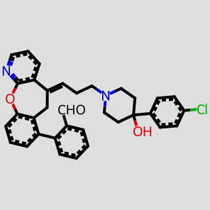 O=Cc1ccccc1-c1cccc2c1CC(=CCCN1CCC(O)(c3ccc(Cl)cc3)CC1)c1cccnc1O2